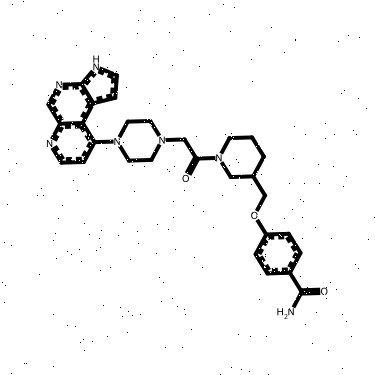 NC(=O)c1ccc(OCC2CCCN(C(=O)CN3CCN(c4ccnc5cnc6[nH]ccc6c45)CC3)C2)cc1